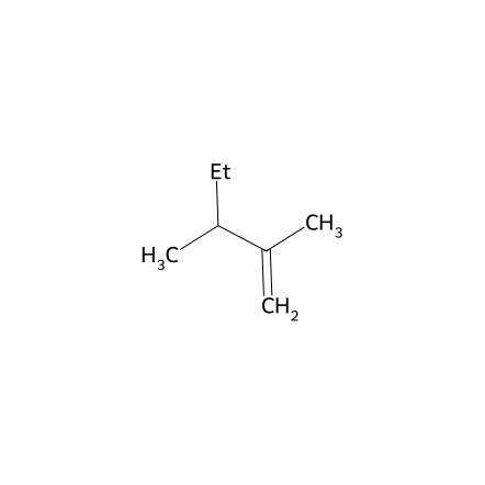 [CH2]CC(C)C(=C)C